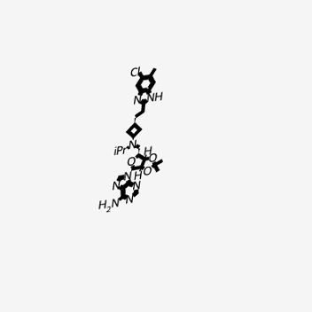 Cc1cc2[nH]c(CC[C@H]3C[C@@H](N(C[C@H]4O[C@@H](n5cnc6c(N)ncnc65)[C@@H]5OC(C)(C)O[C@@H]54)C(C)C)C3)nc2cc1Cl